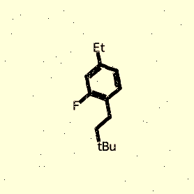 CCc1ccc(CCC(C)(C)C)c(F)c1